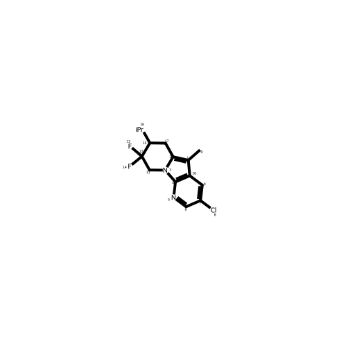 Cc1c2n(c3ncc(Cl)cc13)CC(F)(F)C(C(C)C)C2